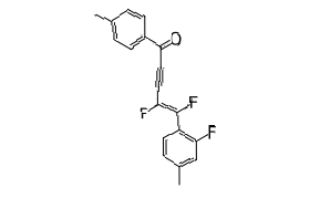 Cc1ccc(C(=O)C#CC(F)=C(F)c2ccc(C)cc2F)cc1